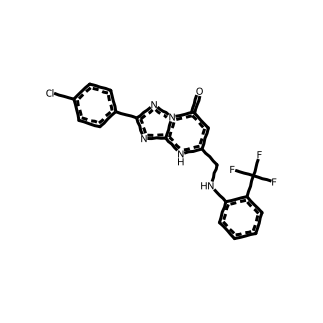 O=c1cc(CNc2ccccc2C(F)(F)F)[nH]c2nc(-c3ccc(Cl)cc3)nn12